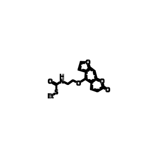 CCSC(=O)NCCOc1c2ccoc2cc2oc(=O)ccc12